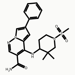 CC1(C)CN(S(C)(=O)=O)CCC1Nc1c(C(N)=O)cnn2cc(-c3ccccc3)cc12